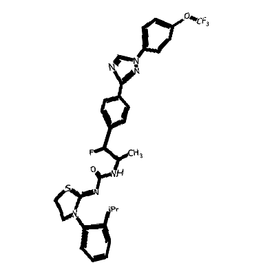 CC(C)c1ccccc1N1CCS/C1=N\C(=O)NC(C)C(F)c1ccc(-c2ncn(-c3ccc(OC(F)(F)F)cc3)n2)cc1